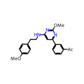 COc1ccc(CCNc2cc(-c3cccc(C(C)=O)c3)nc(OC)n2)cc1